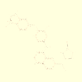 Cc1cc(Nc2ncnc3cnc(N(C)[C@@H]4CN(C)C[C@@H]4F)nc23)ccc1Oc1ccc2c(c1)ncn2C